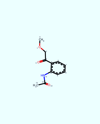 COCC(=O)c1ccccc1NC(C)=O